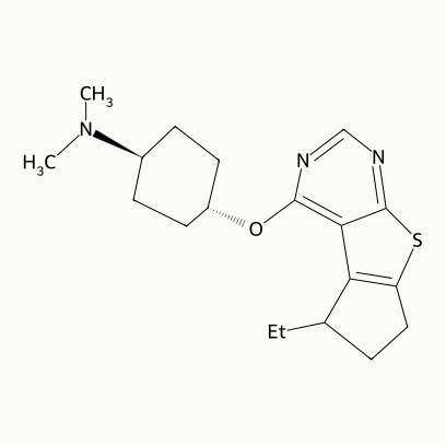 CCC1CCc2sc3ncnc(O[C@H]4CC[C@H](N(C)C)CC4)c3c21